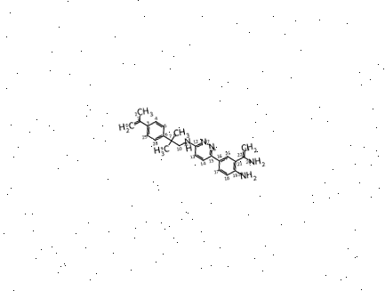 C=C(C)c1ccc(C(C)(C)CNc2ccc(-c3ccc(N)c(C(=C)N)c3)nn2)cc1